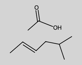 C/C=C/CC(C)C.CC(=O)O